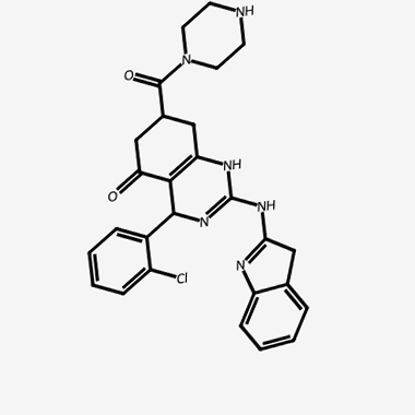 O=C1CC(C(=O)N2CCNCC2)CC2=C1C(c1ccccc1Cl)N=C(NC1=Nc3ccccc3C1)N2